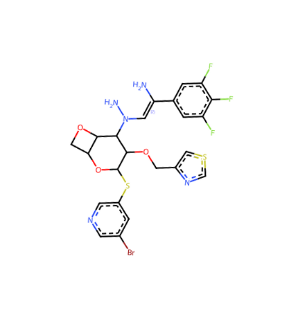 N/C(=C\N(N)C1C2OCC2OC(Sc2cncc(Br)c2)C1OCc1cscn1)c1cc(F)c(F)c(F)c1